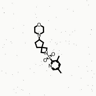 Cc1cnc(S(=O)(=O)N2CC3(CCC(N4CCOCC4)C3)C2)c(C)c1